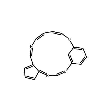 C1=C/C2=N/C=N\c3cccc(c3)O\C=C/C=C\N=C/C2=C1